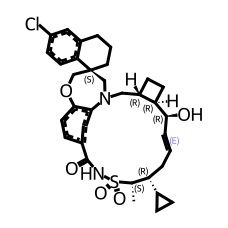 C[C@H]1[C@@H](C2CC2)C/C=C/[C@H](O)[C@@H]2CC[C@H]2CN2C[C@@]3(CCCc4cc(Cl)ccc43)COc3ccc(cc32)C(=O)NS1(=O)=O